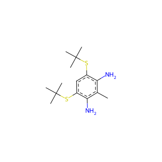 Cc1c(N)c(SC(C)(C)C)cc(SC(C)(C)C)c1N